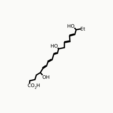 CCC(O)/C=C/C=C/CC(O)/C=C/C=C/C=C/C(O)CCCC(=O)O